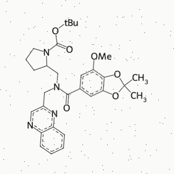 COc1cc(C(=O)N(Cc2cnc3ccccc3n2)CC2CCCN2C(=O)OC(C)(C)C)cc2c1OC(C)(C)O2